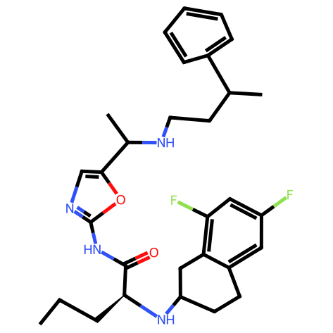 CCC[C@H](NC1CCc2cc(F)cc(F)c2C1)C(=O)Nc1ncc(C(C)NCCC(C)c2ccccc2)o1